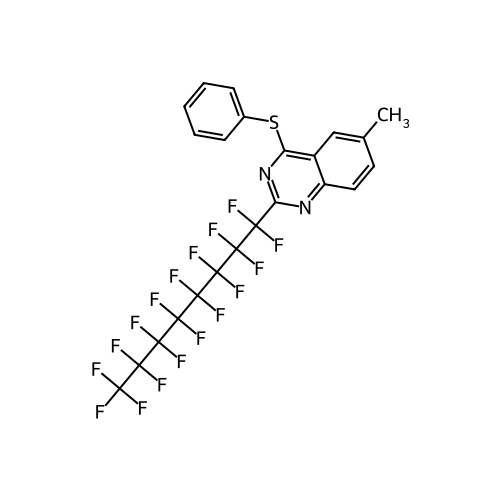 Cc1ccc2nc(C(F)(F)C(F)(F)C(F)(F)C(F)(F)C(F)(F)C(F)(F)C(F)(F)C(F)(F)F)nc(Sc3ccccc3)c2c1